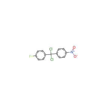 O=[N+]([O-])c1ccc(C(Cl)(Cl)c2ccc(F)cc2)cc1